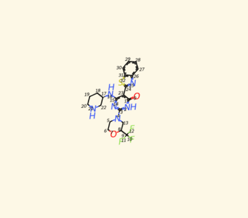 O=c1[nH]c(N2CCOC(C(F)(F)F)C2)nc(N[C@@H]2CCCNC2)c1-c1nc2ccccc2s1